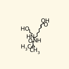 CC1(C)CC1C(=O)NC(CCCCC=CC(=O)O)NCCCO